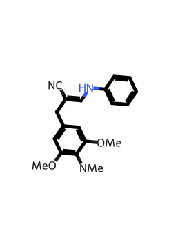 CNc1c(OC)cc(CC(C#N)=CNc2ccccc2)cc1OC